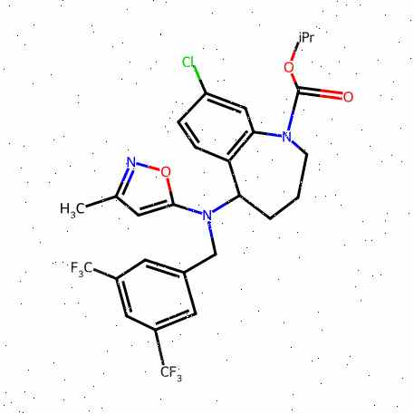 Cc1cc(N(Cc2cc(C(F)(F)F)cc(C(F)(F)F)c2)C2CCCN(C(=O)OC(C)C)c3cc(Cl)ccc32)on1